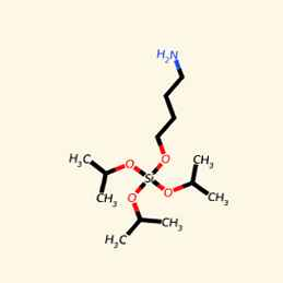 CC(C)O[Si](OCCCCN)(OC(C)C)OC(C)C